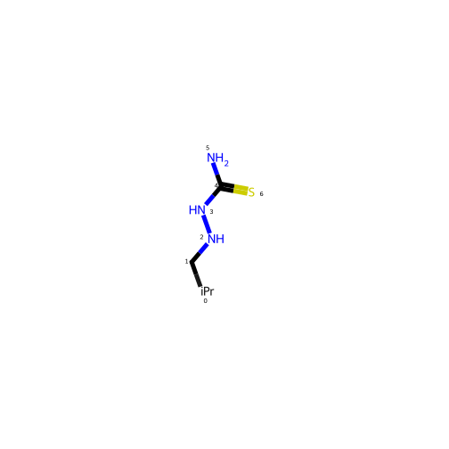 CC(C)CNNC(N)=S